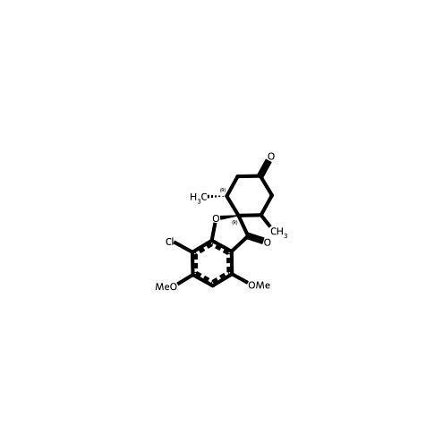 COc1cc(OC)c2c(c1Cl)O[C@]1(C2=O)C(C)CC(=O)C[C@H]1C